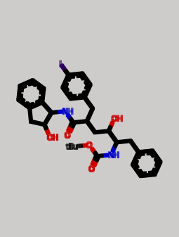 CC(C)(C)OC(=O)NC(Cc1ccccc1)C(O)CC(Cc1ccc(I)cc1)C(=O)NC1c2ccccc2CC1O